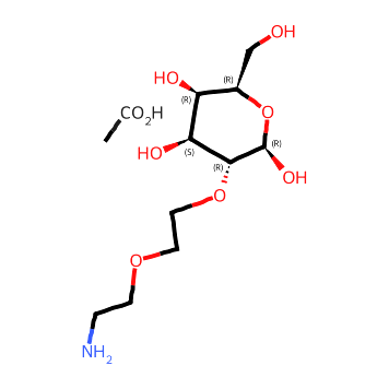 CC(=O)O.NCCOCCO[C@@H]1[C@@H](O)[C@@H](O)[C@@H](CO)O[C@H]1O